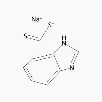 S=C[S-].[Na+].c1ccc2[nH]cnc2c1